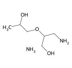 CC(O)COC(CN)CO.N